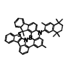 Cc1cc2c3c(c1)N(c1cc4c(cc1C)C(C)(C)CCC4(C)C)c1ccc4c(c1B3n1c3sc5ccccc5c3c3cccc-2c31)C(C)(C)c1ccccc1-4